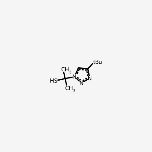 CC(C)(C)c1cn(C(C)(C)S)nn1